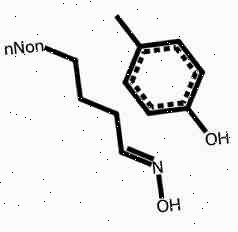 CCCCCCCCCCCCC=NO.Cc1ccc(O)cc1